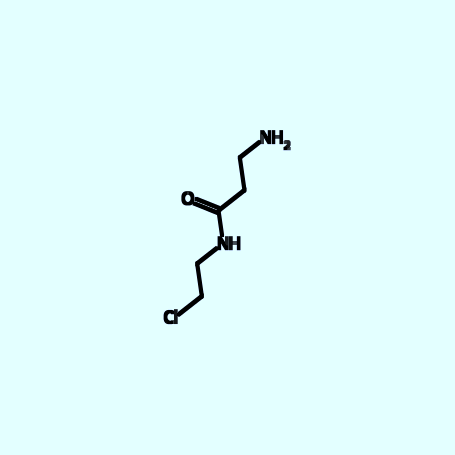 NCCC(=O)NCCCl